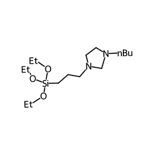 CCCCN1CCN(CCC[Si](OCC)(OCC)OCC)C1